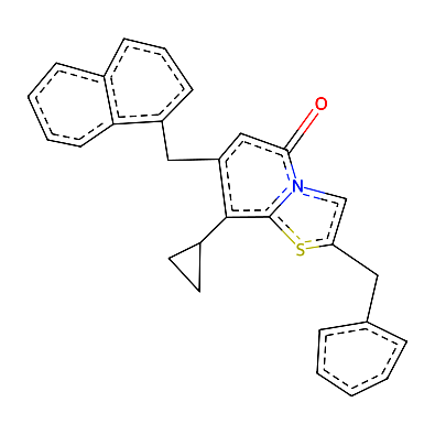 O=c1cc(Cc2cccc3ccccc23)c(C2CC2)c2sc(Cc3ccccc3)cn12